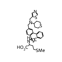 CSCCC(NC(=O)c1ccc(CN(Cc2cncs2)C2CCSCC2)cc1-c1ccccc1C)C(=O)O